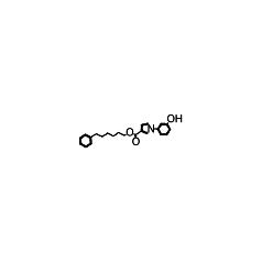 O=C(OCCCCCCc1ccccc1)c1ccn(-c2cccc(O)c2)c1